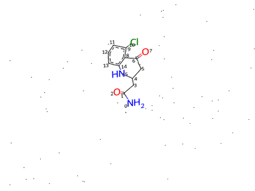 NC(=O)CC1CC(=O)c2c(Cl)cccc2N1